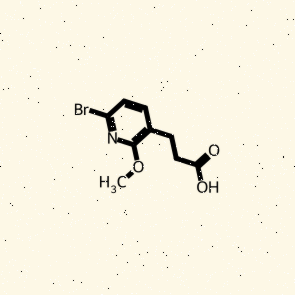 COc1nc(Br)ccc1CCC(=O)O